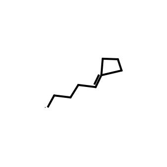 [CH2]CCCC=C1CCC1